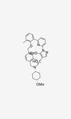 COc1c(C(=O)O)cnn1-c1cccc(-c2cccc(C)c2OCc2ccc3c(c2)CCN([C@H]2CC[C@@H](OC)CC2)C3)n1